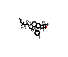 CCCC(C)(C)[C@@H](O)C(=O)N1CC[C@@]2(S(=O)(=O)c3ccc(F)cc3)c3ccc(C(F)(C(F)(F)F)C(F)(F)F)cc3CC[C@@H]12